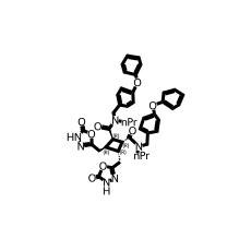 CCCN(Cc1ccc(Oc2ccccc2)cc1)C(=O)[C@@H]1[C@H](Cc2n[nH]c(=O)o2)[C@@H](Cc2n[nH]c(=O)o2)[C@H]1C(=O)N(CCC)Cc1ccc(Oc2ccccc2)cc1